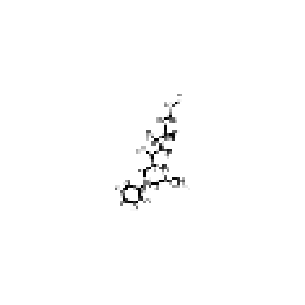 CCCN(CC(F)C(F)C(F)C(F)C(F)CCCF)c1ccccc1